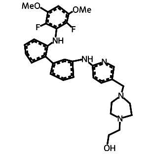 COc1cc(OC)c(F)c(Nc2ccccc2-c2cccc(Nc3ccc(CN4CCN(CCO)CC4)cn3)c2)c1F